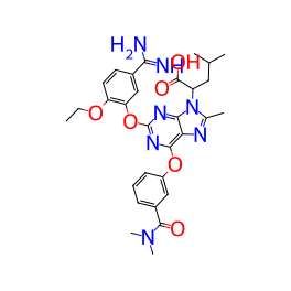 CCOc1ccc(C(=N)N)cc1Oc1nc(Oc2cccc(C(=O)N(C)C)c2)c2nc(C)n(C(CC(C)C)C(=O)O)c2n1